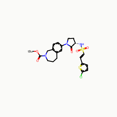 CC(C)(C)OC(=O)N1CCCc2cc(N3CC[C@H](NS(=O)(=O)C=Cc4ccc(Cl)s4)C3=O)ccc2C1